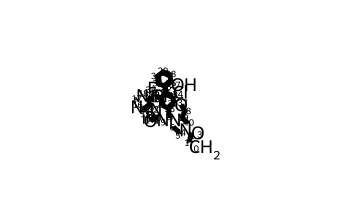 C=CC(=O)N1CCN2c3nc(=O)n(-c4c(C(C)C)ncnc4C(C)C)c4c(F)c(-c5c(O)cccc5F)c(Cl)c(c34)OCC2C1